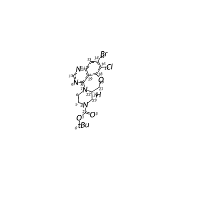 CC(C)(C)OC(=O)N1CCN2c3ncnc4cc(Br)c(Cl)c(c34)OC[C@H]2C1